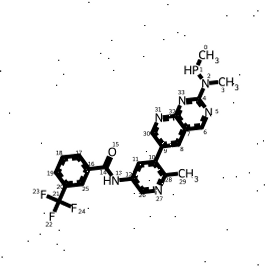 CPN(C)c1ncc2cc(-c3cc(NC(=O)c4cccc(C(F)(F)F)c4)cnc3C)cnc2n1